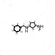 CN[C@@H]1CC[C@H](NCc2ccccc2)C1